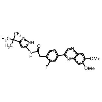 COc1cc2ncc(-c3ccc(CC(=O)Nc4cc(C(C)(C)C(F)(F)F)n[nH]4)c(F)c3)nc2cc1OC